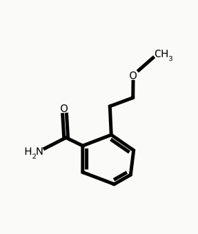 COCCc1ccccc1C(N)=O